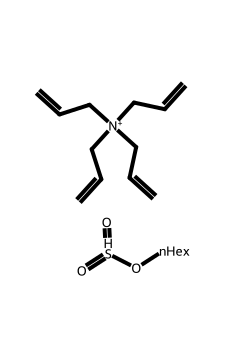 C=CC[N+](CC=C)(CC=C)CC=C.CCCCCCO[SH](=O)=O